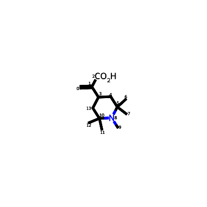 C=C(C(=O)O)C1CC(C)(C)N(C)C(C)(C)C1